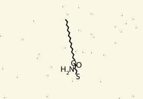 CCCCCCCCCCCCCCCCOC(=O)[C@@H](N)CCSC